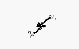 CCCCCCCCOc1c2ccccc2c(OCCCCCCCC)c2ccccc12